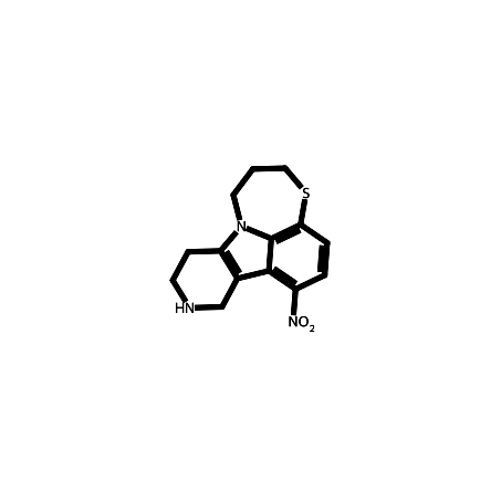 O=[N+]([O-])c1ccc2c3c1c1c(n3CCCS2)CCNC1